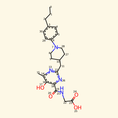 CCCc1ccc(N2CCC(Cc3nc(C)c(O)c(C(=O)NCC(=O)O)n3)CC2)cc1